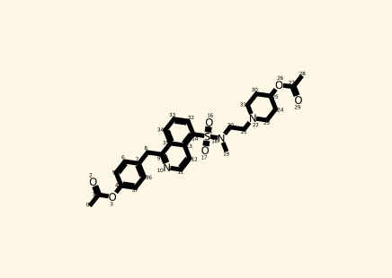 CC(=O)Oc1ccc(Cc2nccc3c(S(=O)(=O)N(C)CCN4CCC(OC(C)=O)CC4)cccc23)cc1